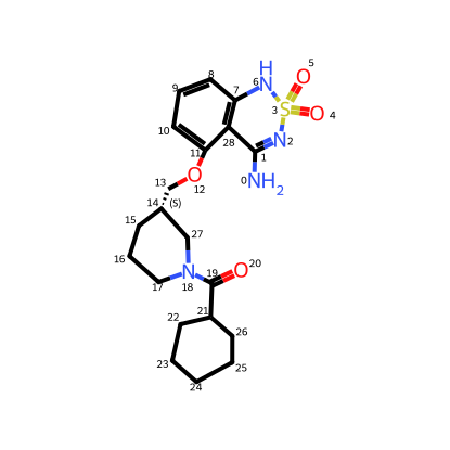 NC1=NS(=O)(=O)Nc2cccc(OC[C@H]3CCCN(C(=O)C4CCCCC4)C3)c21